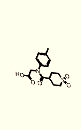 Cc1ccc(N(CC(=O)O)C(=O)C2CCS(=O)(=O)CC2)cc1